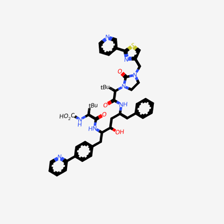 CC(C)(C)C(NC(=O)O)C(=O)NC(Cc1ccc(-c2ccccn2)cc1)C(O)CC(Cc1ccccc1)NC(=O)C(N1CCN(Cc2csc(-c3cccnc3)n2)C1=O)C(C)(C)C